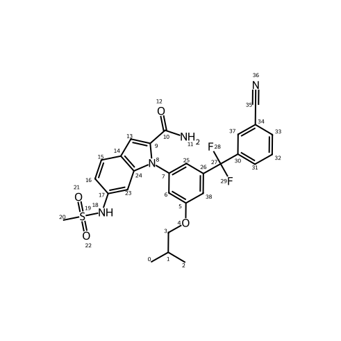 CC(C)COc1cc(-n2c(C(N)=O)cc3ccc(NS(C)(=O)=O)cc32)cc(C(F)(F)c2cccc(C#N)c2)c1